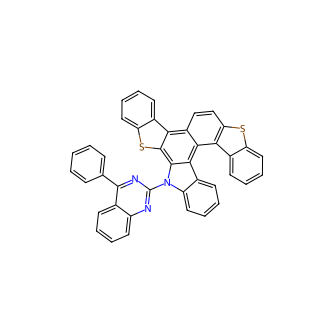 c1ccc(-c2nc(-n3c4ccccc4c4c5c(ccc6sc7ccccc7c65)c5c6ccccc6sc5c43)nc3ccccc23)cc1